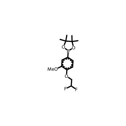 COc1cc(B2OC(C)(C)C(C)(C)O2)ccc1OCC(F)F